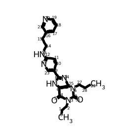 CCCn1c(=O)c2[nH]c(-c3ccc(NCCc4cccnc4)nc3)nc2n(CCC)c1=O